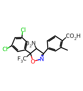 Cc1cc(C2=NOC(c3cc(Cl)cc(Cl)c3)(C(F)(F)F)C2[N+](=O)[O-])ccc1C(=O)O